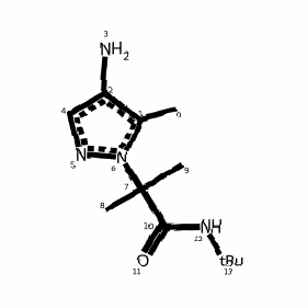 Cc1c(N)cnn1C(C)(C)C(=O)NC(C)(C)C